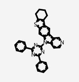 c1ccc(-c2nc(-c3ccccc3)nc(-n3c4ccncc4c4cc5c6c(sc5cc43)CCCC6)n2)cc1